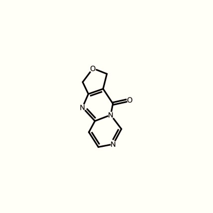 O=c1c2c(nc3ccncn13)COC2